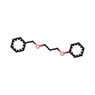 [c]1ccccc1OCCCOCc1ccccc1